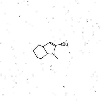 CN1C(C(C)(C)C)=CC2CCCCC21